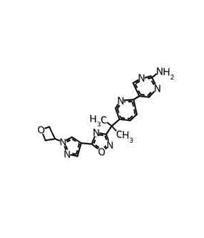 CC(C)(c1ccc(-c2cnc(N)nc2)nc1)c1noc(-c2cnn(C3COC3)c2)n1